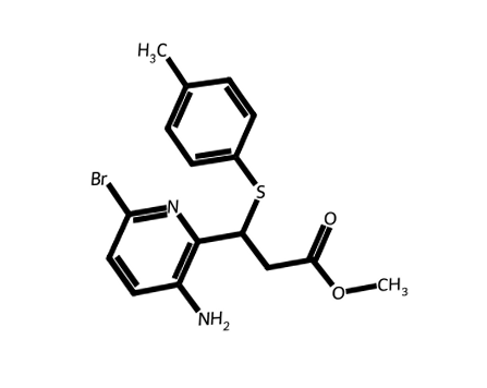 COC(=O)CC(Sc1ccc(C)cc1)c1nc(Br)ccc1N